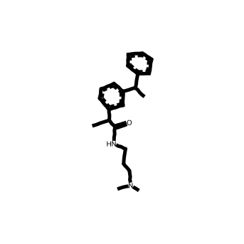 CC(C(=O)NCCCN(C)C)c1cccc(C(C)c2ccccc2)c1